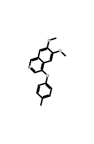 COc1cc2cncc(Oc3ccc(C)cc3)c2cc1OC